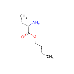 CCCCOC(=O)C(N)CC